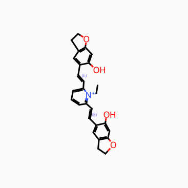 CC[n+]1c(/C=C/c2cc3c(cc2O)OCC3)cccc1/C=C/c1cc2c(cc1O)OCC2